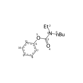 CCCCN(CC)C(=O)Oc1ccccc1